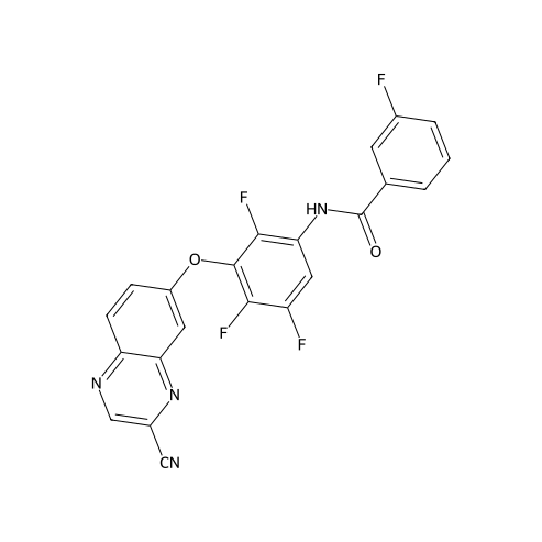 N#Cc1cnc2ccc(Oc3c(F)c(F)cc(NC(=O)c4cccc(F)c4)c3F)cc2n1